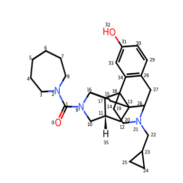 O=C(N1CCCCCC1)N1C[C@H]2CC34CCC1C2C31CCN(CC2CC2)C4Cc2ccc(O)cc21